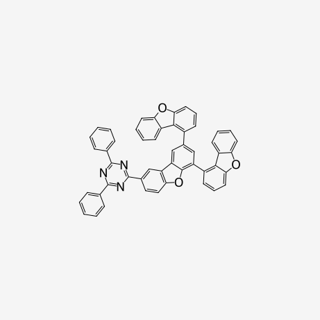 c1ccc(-c2nc(-c3ccccc3)nc(-c3ccc4oc5c(-c6cccc7oc8ccccc8c67)cc(-c6cccc7oc8ccccc8c67)cc5c4c3)n2)cc1